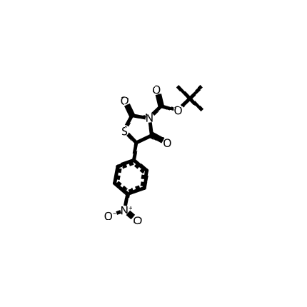 CC(C)(C)OC(=O)N1C(=O)SC(c2ccc([N+](=O)[O-])cc2)C1=O